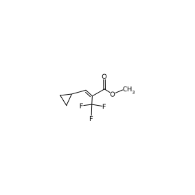 COC(=O)C(=CC1CC1)C(F)(F)F